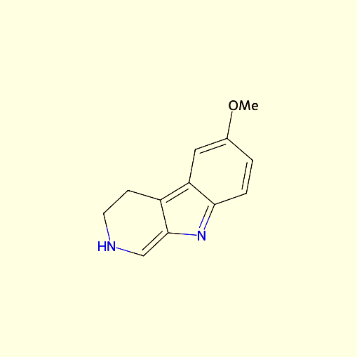 COc1ccc2c(c1)=C1CCNC=C1N=2